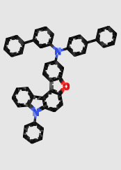 c1ccc(-c2ccc(N(c3cccc(-c4ccccc4)c3)c3ccc4c(c3)oc3ccc5c(c6ccccc6n5-c5ccccc5)c34)cc2)cc1